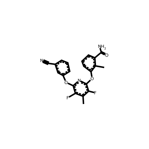 Cc1c(Oc2nc(Oc3cccc(C#N)c3)c(F)c(C)c2F)cccc1C(N)=O